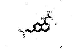 O=C(O)Nc1nccc2cc(/C=C/[N+](=O)[O-])ccc12